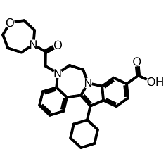 O=C(O)c1ccc2c(C3CCCCC3)c3n(c2c1)CCN(CC(=O)N1CCCOCC1)c1ccccc1-3